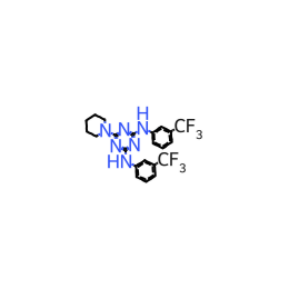 FC(F)(F)c1cccc(Nc2nc(Nc3cccc(C(F)(F)F)c3)nc(N3CCCCC3)n2)c1